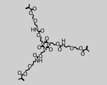 C=C(C)C(=O)OCCOCCNC(=O)OCCn1c(=O)n(CCOC(=O)NCCOCCOC(=O)C(=C)C)c(=O)n(CCOC(=O)NCCOCCOC(=O)C(=C)C)c1=O